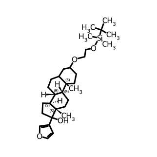 CC(C)(C)[Si](C)(C)OCCOC1CC[C@@]2(C)C(CC[C@@H]3[C@H]2CC[C@@]2(C)[C@H]3CCC2(O)c2ccoc2)C1